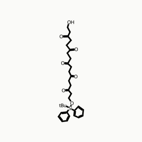 CC(C)(C)[Si](OCCC(=O)CCC(=O)CCC(=O)CCC(=O)CCC(=O)CCO)(c1ccccc1)c1ccccc1